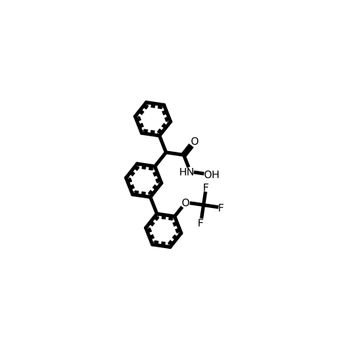 O=C(NO)C(c1ccccc1)c1cccc(-c2ccccc2OC(F)(F)F)c1